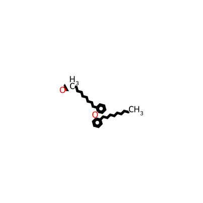 C1CO1.CCCCCCCCCc1ccccc1Oc1ccccc1CCCCCCCCC